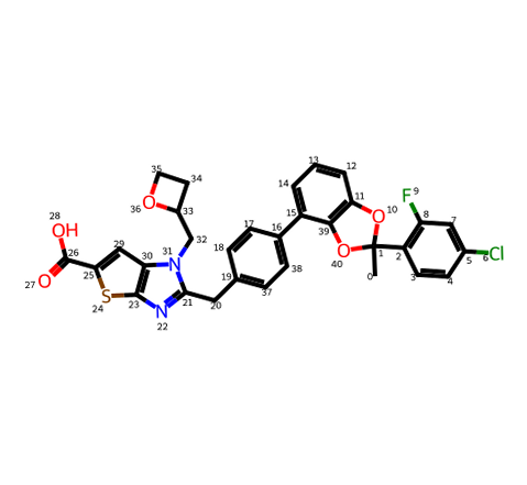 CC1(c2ccc(Cl)cc2F)Oc2cccc(-c3ccc(Cc4nc5sc(C(=O)O)cc5n4CC4CCO4)cc3)c2O1